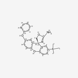 CC(C)(C)c1ccc2c(c1)[C@]1(COC(N)=N1)c1cc(Oc3ccccn3)ccc1O2